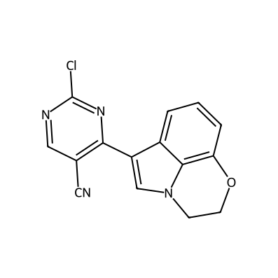 N#Cc1cnc(Cl)nc1-c1cn2c3c(cccc13)OCC2